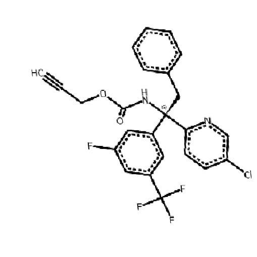 C#CCOC(=O)N[C@@](Cc1ccccc1)(c1cc(F)cc(C(F)(F)F)c1)c1ccc(Cl)cn1